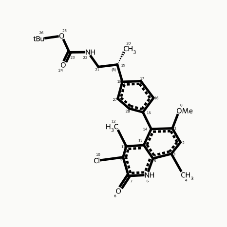 COc1cc(C)c2[nH]c(=O)c(Cl)c(C)c2c1-c1ccc([C@@H](C)CNC(=O)OC(C)(C)C)cc1